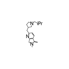 C=C1c2ccc(CC3CCN(CC(C)C)C3)nc2CN1C